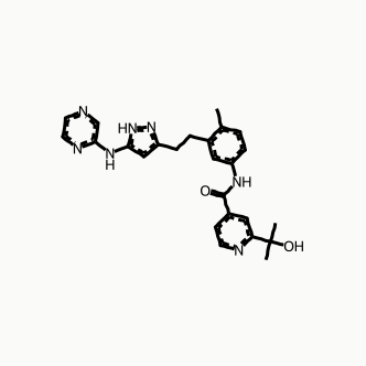 Cc1ccc(NC(=O)c2ccnc(C(C)(C)O)c2)cc1CCc1cc(Nc2cnccn2)[nH]n1